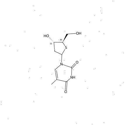 Cc1cn(C2C[C@H](O)[C@@H](CO)S2)c(=O)[nH]c1=O